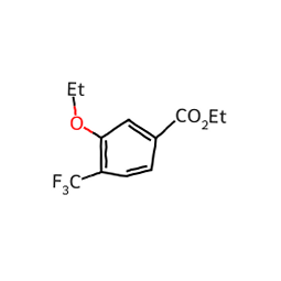 CCOC(=O)c1ccc(C(F)(F)F)c(OCC)c1